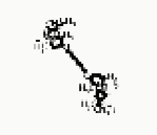 CCCCC(CC)ON1C(C)(C)CCC(OCCCCCCCCOC2CCC(C)(C)N(Oc3ccc(C(C)(C)C)cc3)C(C)(C)C2)CC1(C)C